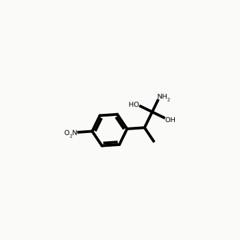 CC(c1ccc([N+](=O)[O-])cc1)C(N)(O)O